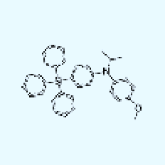 COc1ccc(N(c2ccc([Si](c3ccccc3)(c3ccccc3)c3ccccc3)cc2)C(C)C)cc1